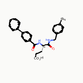 CC(C)(C)c1ccc(CNC(=O)[C@H](CCC(=O)O)NC(=O)c2ccc(-c3ccccc3)cc2)cc1